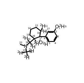 [2H]Oc1cccc([C@]2(O[2H])C([2H])([2H])CCC[C@@]2([2H])C([2H])([2H])N(C)C([2H])([2H])[2H])c1